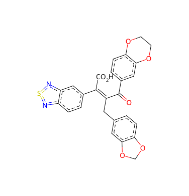 O=C(O)C(=C(Cc1ccc2c(c1)OCO2)C(=O)c1ccc2c(c1)OCCO2)c1ccc2nsnc2c1